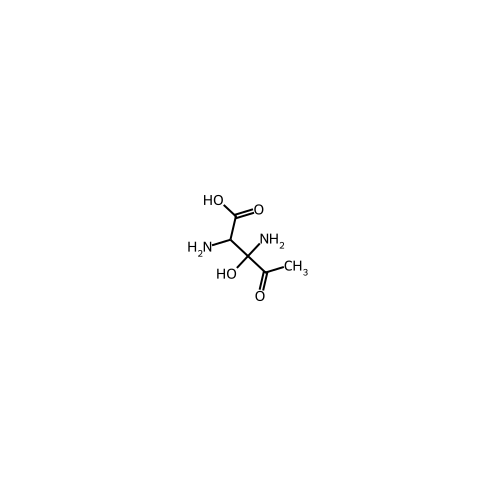 CC(=O)C(N)(O)C(N)C(=O)O